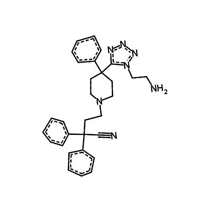 N#CC(CCN1CCC(c2ccccc2)(c2nnnn2CCN)CC1)(c1ccccc1)c1ccccc1